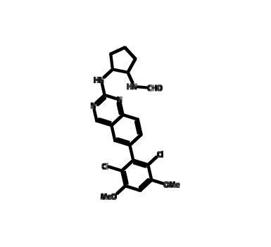 COc1cc(OC)c(Cl)c(-c2ccc3nc(NC4CCCC4NC=O)ncc3c2)c1Cl